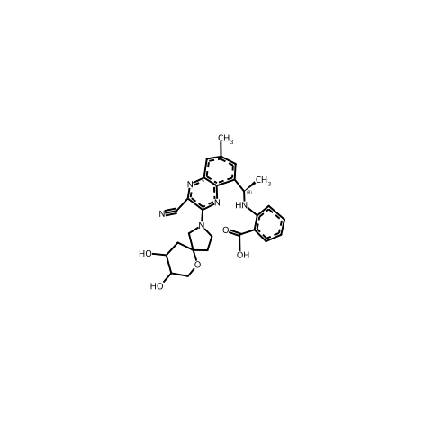 Cc1cc([C@@H](C)Nc2ccccc2C(=O)O)c2nc(N3CCC4(CC(O)C(O)CO4)C3)c(C#N)nc2c1